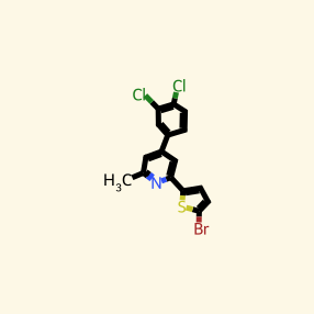 Cc1cc(-c2ccc(Cl)c(Cl)c2)cc(-c2ccc(Br)s2)n1